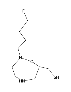 FCCCCN1CCNCC(CS)C1